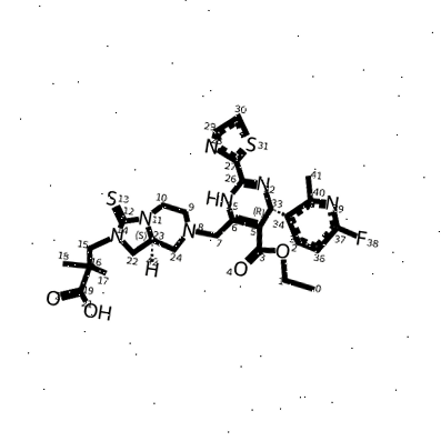 CCOC(=O)C1=C(CN2CCN3C(=S)N(CC(C)(C)C(=O)O)C[C@@H]3C2)NC(c2nccs2)=N[C@@H]1c1ccc(F)nc1C